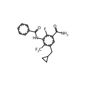 NC(=O)c1cc(CC2CC2)c(C(F)(F)F)c(NC(=O)c2ccccc2)c1F